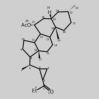 CCC(=O)C1CC1[C@@H](C)C1CCC2C3C(CC[C@@]21C)[C@@]1(C)CC[C@@H](C)C[C@H]1C[C@H]3OC(C)=O